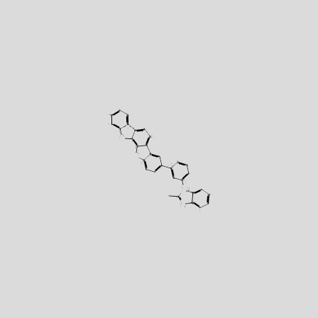 Cc1nc2ccccc2n1-c1cccc(-c2ccc3oc4c(ccc5c6ccccc6oc54)c3c2)c1